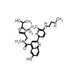 CNCCNc1ccc(-c2cc(C(=O)N(C)Cc3cnc(C(C)O)n3C)c3cc(O)ccc3n2)nc1C